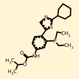 CCP(CC)c1cc(NC(=O)OC(C)C)ccc1-c1cnc(C2CCCCC2)s1